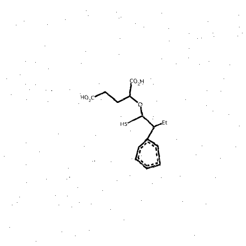 CCC(c1ccccc1)C(S)OC(CCC(=O)O)C(=O)O